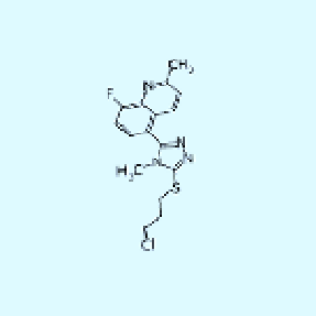 Cc1ccc2c(-c3nnc(SCCCCl)n3C)ccc(F)c2n1